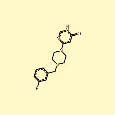 O=c1cc(N2CCN(Cc3cccc(F)c3)CC2)nc[nH]1